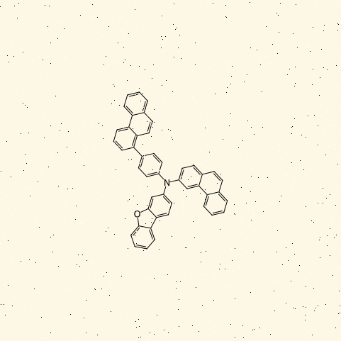 c1ccc2c(c1)ccc1ccc(N(c3ccc(-c4cccc5c4ccc4ccccc45)cc3)c3ccc4c(c3)oc3ccccc34)cc12